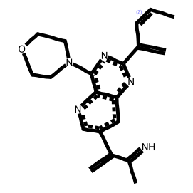 C=C(C(C)=N)c1cnc2c(N3CCOCC3)nc(C(=C)/C=C\C)nc2c1